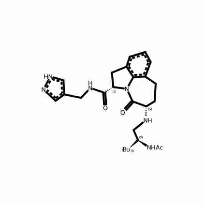 CC[C@H](C)[C@@H](CN[C@H]1CCc2cccc3c2N(C1=O)[C@H](C(=O)NCc1cn[nH]c1)C3)NC(C)=O